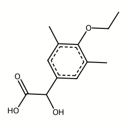 CCOc1c(C)cc(C(O)C(=O)O)cc1C